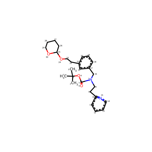 CC(C)(C)OC(=O)N(CCc1ccccn1)Cc1cccc(CCOC2CCCCO2)c1